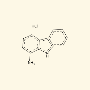 Cl.Nc1cccc2c1[nH]c1ccccc12